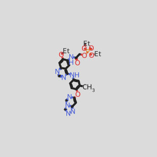 CCOc1cc2ncnc(Nc3ccc(Oc4cc5nncn5cn4)c(C)c3)c2cc1NC(=O)COP(=O)(OCC)OCC